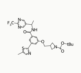 Cc1cnc(-c2cc(OCC3CN(C(=O)OC(C)(C)C)C3)cc(C(=O)NC(C)c3cnc(C(F)(F)F)nc3)c2)s1